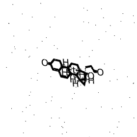 CC[C@]12CC[C@H]3[C@@H](C=CC4=CC(=O)CC[C@@H]43)[C@@H]1[C@@H]1C[C@@H]1[C@@]21CCC(=O)O1